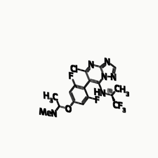 CNC(C)Oc1cc(F)c(-c2c(Cl)nc3ncnn3c2N[C@@H](C)C(F)(F)F)c(F)c1